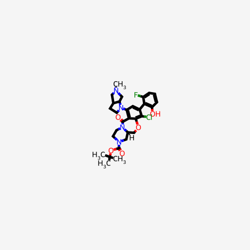 CN1CC2CCN(c3cc(-c4c(O)cccc4F)c(Cl)c4c3C(=O)N3CCN(C(=O)OC(C)(C)C)C[C@@H]3CO4)C2C1